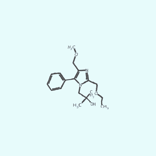 CCOCc1nc(COC)c(-c2ccccc2)n1CC(C)(C)O